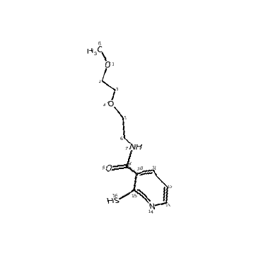 COCCOCCNC(=O)c1cccnc1S